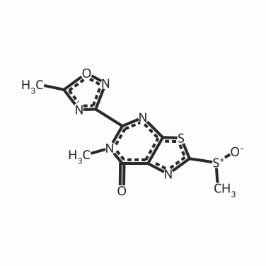 Cc1nc(-c2nc3sc([S+](C)[O-])nc3c(=O)n2C)no1